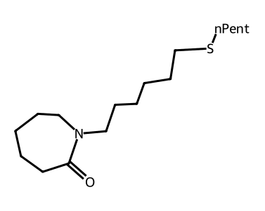 CCCCCSCCCCCCN1CCCCCC1=O